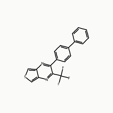 FC(F)(F)c1nc2cscc2nc1-c1ccc(-c2ccccc2)cc1